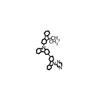 CC1(C)c2ccccc2-c2ccc(-n3c4ccccc4c4cc(-c5ccc6c(c5)c5ccccc5n6-c5cnccn5)ccc43)cc21